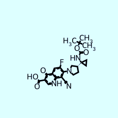 CC(C)(C)OC(=O)NC1([C@@H]2CCN(c3c(F)cc4c(=O)c(C(=O)O)c[nH]c4c3C#N)C2)CC1